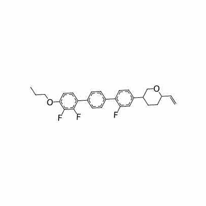 C=CC1CCC(c2ccc(-c3ccc(-c4ccc(OCCC)c(F)c4F)cc3)c(F)c2)CO1